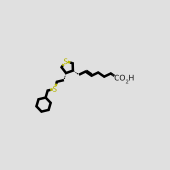 O=C(O)CCCC=CC[C@H]1CSC[C@H]1CCSCC1CCCCC1